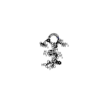 CCCC[C@H](NC(=O)[C@@H]1CCCN1C(=O)[C@@H]1CSCc2cc(CSC[C@H](NC)C(N)=O)cc(c2)OCCCCCCO/N=C/C(=O)N[C@@H](CCCNC(=N)N)C(=O)N1)C(=O)N[C@@H](CC(=O)OOC)C(=O)N[C@H](C(=O)N[C@@H](Cc1c[nH]c2ccccc12)C(=O)N[C@@H](CCC(N)=O)C(=O)N[C@H](C=O)CCC(=O)O)[C@@H](C)CC